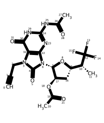 C#CCn1c(=O)n([C@@H]2O[C@H]([C@@H](C)C(F)(F)F)C[C@H]2OC(C)=O)c2nc(NC(C)=O)[nH]c(=O)c21